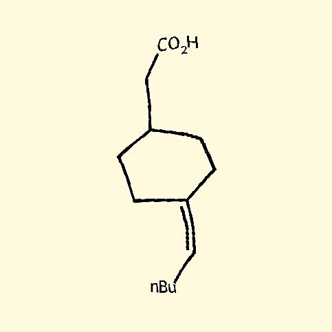 CCCCC=C1CCC(CC(=O)O)CC1